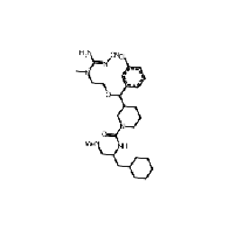 CNCC(CC1CCCCC1)NC(=O)N1CCCC(C(OCCN(C)C(N)=NC#N)c2cccc(Cl)c2)C1